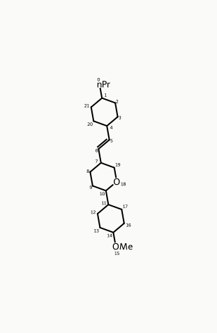 CCCC1CCC(/C=C/C2CCC(C3CCC(OC)CC3)OC2)CC1